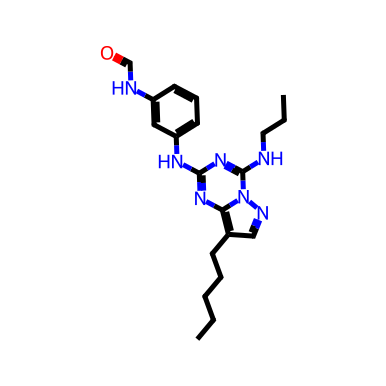 CCCCCc1cnn2c(NCCC)nc(Nc3cccc(NC=O)c3)nc12